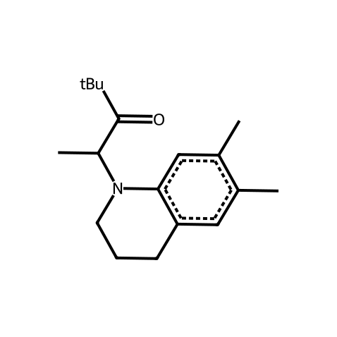 Cc1cc2c(cc1C)N(C(C)C(=O)C(C)(C)C)CCC2